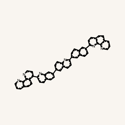 c1cnc2c(c1)ccc1ccc(-c3ccc4cc(-c5ccc6cc(-c7ccc8ccc(-c9ccnc%10c9ccc9cccnc9%10)nc8c7)ccc6n5)ccc4c3)nc12